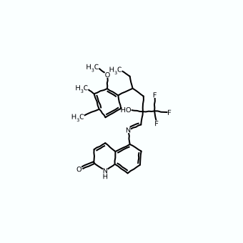 CCC(CC(O)(C=Nc1cccc2[nH]c(=O)ccc12)C(F)(F)F)c1ccc(C)c(C)c1OC